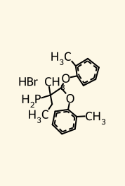 Br.CCC(C)(P)C(Oc1ccccc1C)Oc1ccccc1C